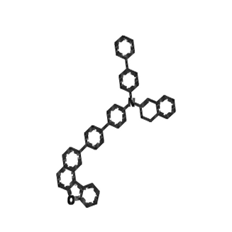 C1=C(N(c2ccc(-c3ccccc3)cc2)c2ccc(-c3ccc(-c4ccc5ccc6oc7ccccc7c6c5c4)cc3)cc2)CCc2ccccc21